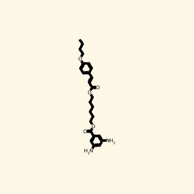 CCCCOc1ccc(C=CC(=O)OCCCCCCOC(=O)c2cc(N)cc(N)c2)cc1